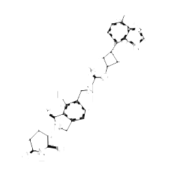 O=C1CC[C@H](N2Cc3ccc(CNC(=O)OC4CC(c5ccc(F)c6scnc56)C4)c(F)c3C2=O)C(=O)N1